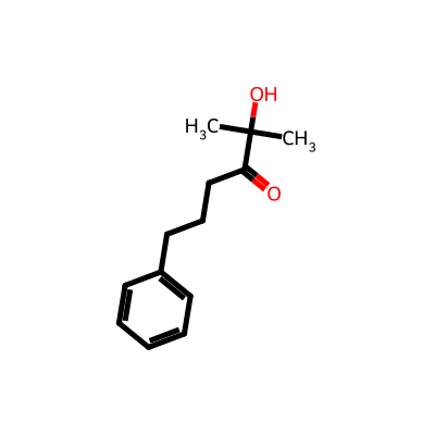 CC(C)(O)C(=O)CCCc1ccccc1